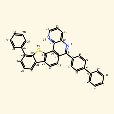 c1ccc(-c2ccc(-c3nc4cccnc4c4c3ccc3c5cccc(-c6ccccc6)c5sc34)cc2)cc1